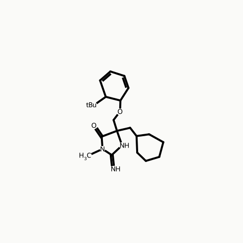 CN1C(=N)NC(COC2C=CC=CC2C(C)(C)C)(CC2CCCCC2)C1=O